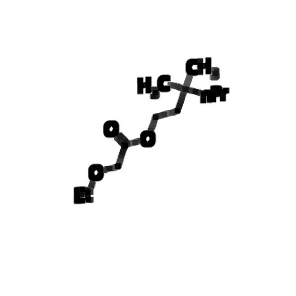 CCCC(C)(C)CCOC(=O)COCC